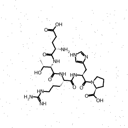 C[C@@H](O)[C@H](NC(=O)[C@@H](N)CCC(=O)O)C(=O)N[C@@H](CCCNC(=N)N)C(=O)N[C@@H](Cc1c[nH]cn1)C(=O)N1CCC[C@H]1C(=O)O